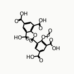 O=POc1c(C(=O)O)cc(C(=O)O)cc1C(=O)Oc1c(C(=O)O)cc(C(=O)O)cc1C(=O)O